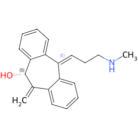 C=C1c2ccccc2/C(=C\CCNC)c2ccccc2[C@H]1O